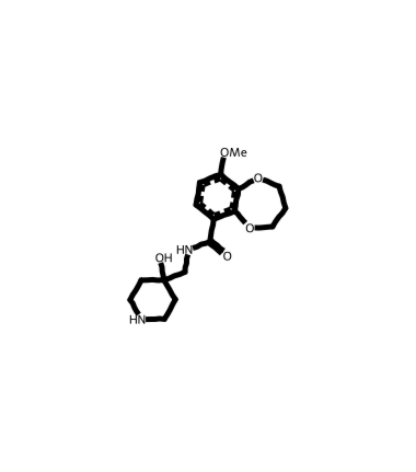 COc1ccc(C(=O)NCC2(O)CCNCC2)c2c1OCCCO2